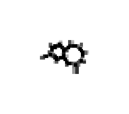 Cc1ccc2c(c1)CNCCCC2